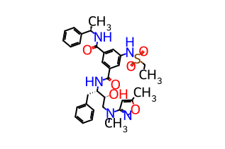 CCS(=O)(=O)Nc1cc(C(=O)N[C@@H](Cc2ccccc2)[C@H](O)CN(C)c2cc(C)on2)cc(C(=O)N[C@H](C)c2ccccc2)c1